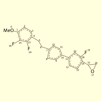 COc1ccc(CCc2ccc(-c3ccc(C4CO4)c(F)c3)cc2)c(F)c1F